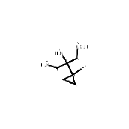 NCC(N)(CC(=O)O)C1(F)CC1